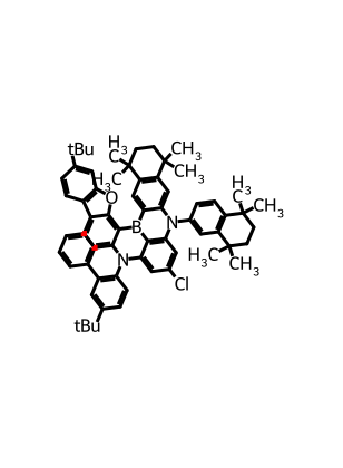 CC(C)(C)c1ccc(N2c3cc(Cl)cc4c3B(c3cc5c(cc3N4c3ccc4c(c3)C(C)(C)CCC4(C)C)C(C)(C)CCC5(C)C)c3c2ccc2c3oc3cc(C(C)(C)C)ccc32)c(-c2ccccc2)c1